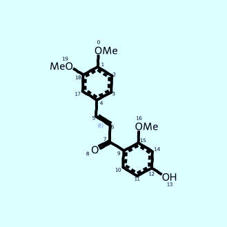 COc1ccc(/C=C/C(=O)c2ccc(O)cc2OC)cc1OC